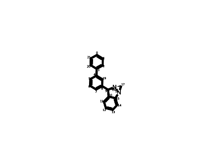 c1ccc(-c2cccc(C3c4ccccc4N4C[N@@]34)c2)cc1